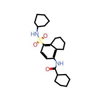 O=C(Nc1ccc(S(=O)(=O)NC2CCCCC2)c2c1CCCC2)C1CCCCC1